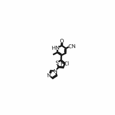 Cc1[nH]c(=O)c(C#N)cc1-c1ccc(-n2ccnc2)s1.Cl